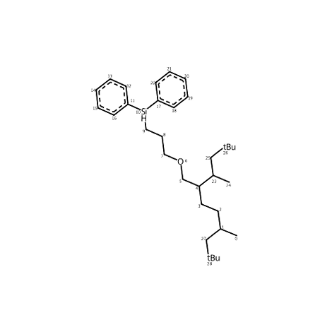 CC(CCC(COCCC[SiH](c1ccccc1)c1ccccc1)C(C)CC(C)(C)C)CC(C)(C)C